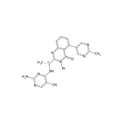 Cc1ncc(-c2cccc3nc([C@@H](C)Nc4nc(N)ncc4C#N)n(C(C)C)c(=O)c23)cn1